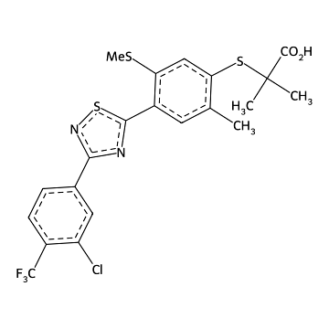 CSc1cc(SC(C)(C)C(=O)O)c(C)cc1-c1nc(-c2ccc(C(F)(F)F)c(Cl)c2)ns1